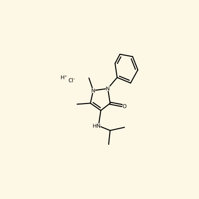 Cc1c(NC(C)C)c(=O)n(-c2ccccc2)n1C.[Cl-].[H+]